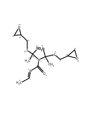 CC=NC(=O)N(C(C)(SCC1CO1)S(=O)(=O)O)C(C)(SCC1CO1)S(=O)(=O)O